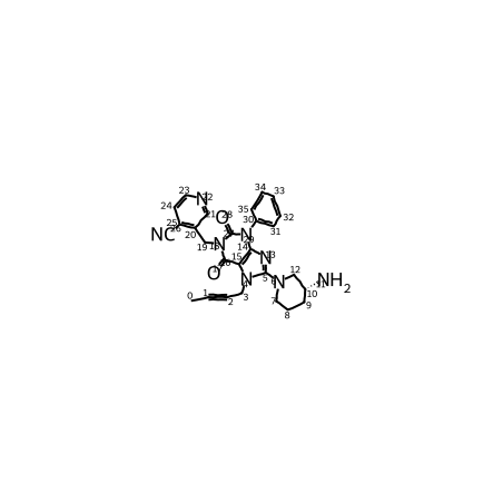 CC#CCn1c(N2CCC[C@@H](N)C2)nc2c1c(=O)n(Cc1cnccc1C#N)c(=O)n2-c1ccccc1